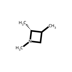 CC1CN(C)[C@@H]1C